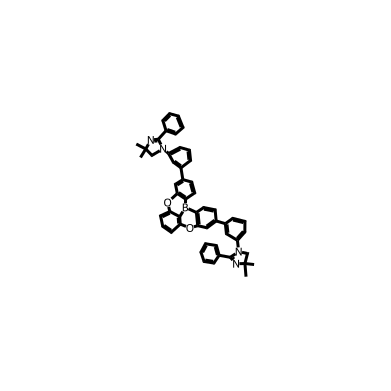 CC1(C)CN(c2cccc(-c3ccc4c(c3)Oc3cccc5c3B4c3ccc(-c4cccc(N6CC(C)(C)N=C6c6ccccc6)c4)cc3O5)c2)C(c2ccccc2)=N1